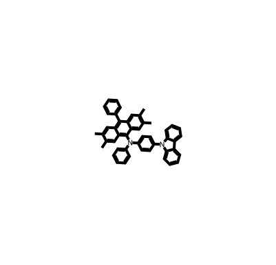 Cc1cc2c(-c3ccccc3)c3cc(C)c(C)cc3c(N(c3ccccc3)c3ccc(-n4c5ccccc5c5ccccc54)cc3)c2cc1C